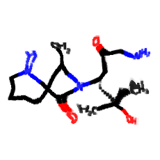 CC1N([C@H](C(N)=O)C(C)(C)O)C(=O)C12CCCN2